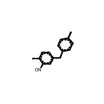 Cc1ccc(Cc2ccc(C)c(N=O)c2)cc1